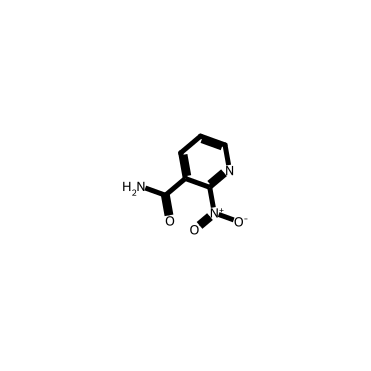 NC(=O)c1cccnc1[N+](=O)[O-]